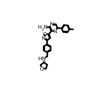 Cc1ccc(-c2cnc(N)c(-c3cc(-c4ccc(CN[C@H]5CCOC5)cc4)no3)n2)cc1